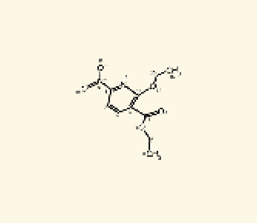 CCOC(=O)c1ccc([N+](=O)[O-])nc1OCC